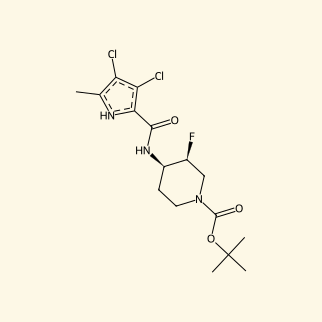 Cc1[nH]c(C(=O)N[C@@H]2CCN(C(=O)OC(C)(C)C)C[C@@H]2F)c(Cl)c1Cl